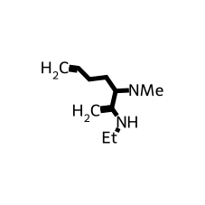 C=CCCC(NC)C(=C)NCC